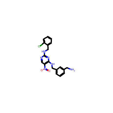 NCc1cccc(CNc2nc(NCc3ccccc3Cl)ncc2[N+](=O)[O-])c1